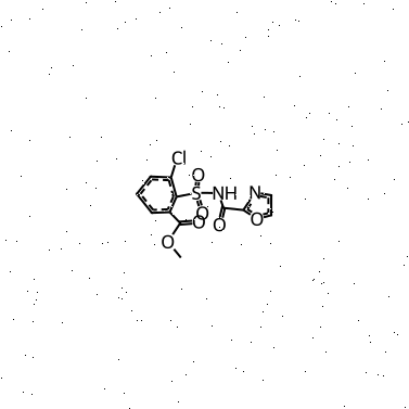 COC(=O)c1cccc(Cl)c1S(=O)(=O)NC(=O)c1ncco1